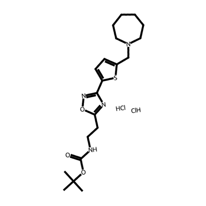 CC(C)(C)OC(=O)NCCc1nc(-c2ccc(CN3CCCCCC3)s2)no1.Cl.Cl